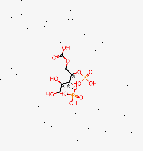 O=C(O)OC[C@@H](OP(=O)(O)O)[C@H](OP(=O)(O)O)[C@H](O)CO